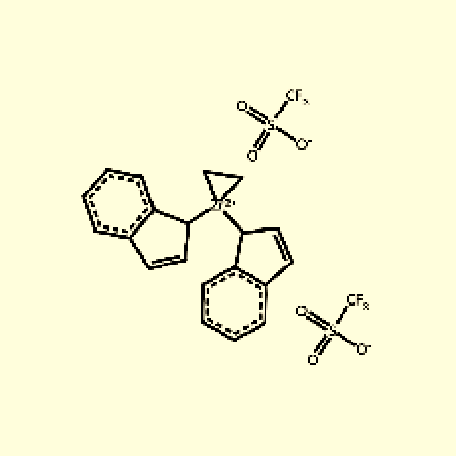 C1=C[CH]([Zr+2]2([CH]3C=Cc4ccccc43)[CH2][CH2]2)c2ccccc21.O=S(=O)([O-])C(F)(F)F.O=S(=O)([O-])C(F)(F)F